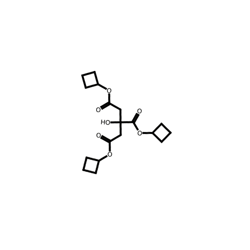 O=C(CC(O)(CC(=O)OC1CCC1)C(=O)OC1CCC1)OC1CCC1